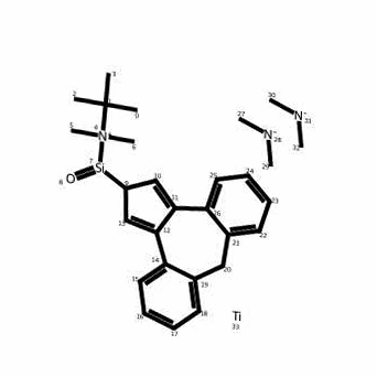 CC(C)(C)[N+](C)(C)[Si](=O)C1C=C2C(=C1)c1ccccc1Cc1ccccc12.C[N-]C.C[N-]C.[Ti]